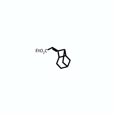 CCOC(=O)/C=C1\C2CCC3CC1C2C3